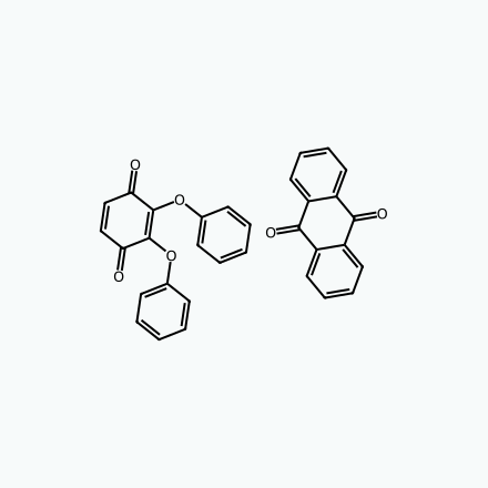 O=C1C=CC(=O)C(Oc2ccccc2)=C1Oc1ccccc1.O=C1c2ccccc2C(=O)c2ccccc21